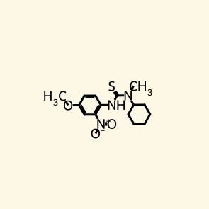 COc1ccc(NC(=S)N(C)C2CCCCC2)c([N+](=O)[O-])c1